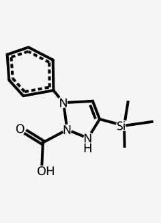 C[Si](C)(C)C1=CN(c2ccccc2)N(C(=O)O)N1